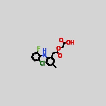 Cc1ccc(Nc2c(F)cccc2Cl)c(CC(=O)OCC(=O)O)c1